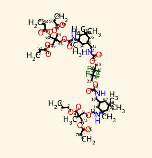 C=CCOC(=O)C(C)(COCNC1(C)CC(CNC(=O)OCC(F)(F)C(F)(F)COC(=O)NCC2CC(C)(C)CC(C)(NC(=O)OCC(COC(=O)C=C)(COC(=O)C=C)COC(=O)C=C)C2)CC(C)(C)C1)COC(=O)C=C